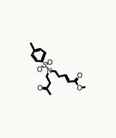 COC(=O)/C=C/CCN(CCC(C)=O)S(=O)(=O)c1ccc(C)cc1